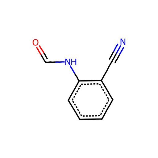 N#Cc1ccccc1NC=O